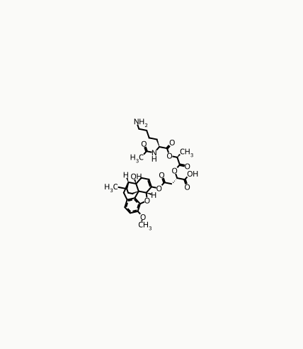 COc1ccc2c3c1O[C@H]1C(OC(=O)C[C@H](OC(=O)[C@H](C)OC(=O)[C@H](CCCCN)NC(C)=O)C(=O)O)=CC[C@@]4(O)[C@@H](C2)C(C)CC[C@]314